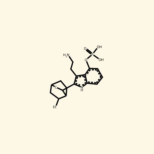 CCC1CC2CCC1C(c1[nH]c3cccc(OP(=O)(O)O)c3c1CCN)C2